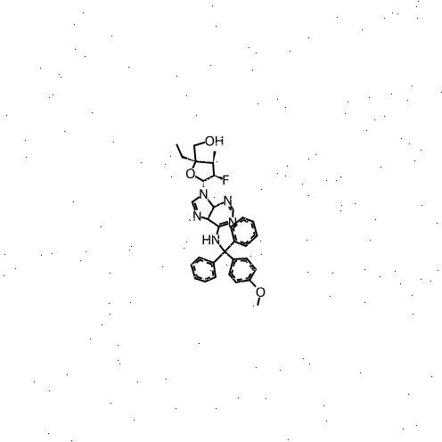 CC[C@]1(CO)O[C@@H](N2C=NC3C(NC(c4ccccc4)(c4ccccc4)c4ccc(OC)cc4)=NC=NC32)[C@H](F)[C@@H]1C